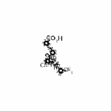 O=C(O)Cc1cccc(SCc2cccc(C(=O)Nc3ccc(Cl)cc3C(=O)Nc3ccn(-c4cccc(C(F)(F)F)c4)n3)c2)c1